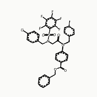 Cc1ccc(CN(C(=O)CN(Cc2ccc(Cl)cc2)S(=O)(=O)c2c(F)c(F)c(F)c(F)c2F)c2ccc(C(=O)OCc3ccccc3)cc2)cc1